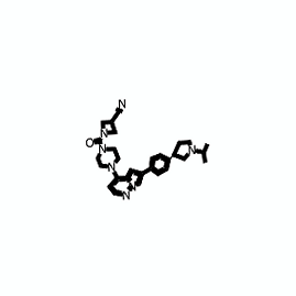 CC(C)N1CC[C@@H](c2ccc(-c3cc4c(N5CCN(C(=O)N6CC(C#N)C6)CC5)ccnn4c3)cc2)C1